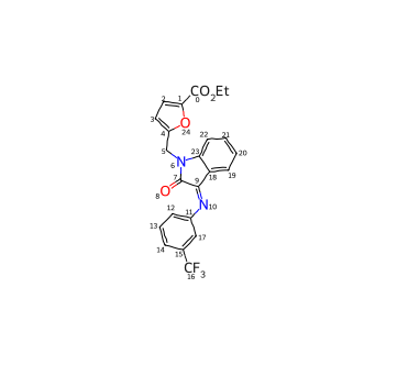 CCOC(=O)c1ccc(CN2C(=O)/C(=N\c3cccc(C(F)(F)F)c3)c3ccccc32)o1